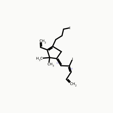 C=C/C=C(I)\C=C1/CC(CCCI)=C(C=C)C1(C)C